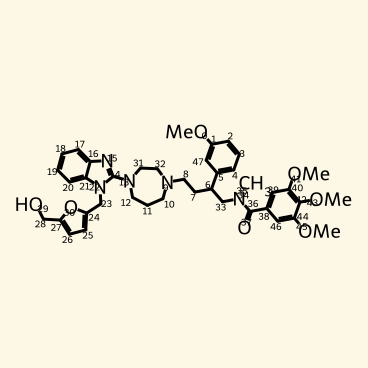 COc1cccc(C(CCN2CCCN(c3nc4ccccc4n3Cc3ccc(CO)o3)CC2)CN(C)C(=O)c2cc(OC)c(OC)c(OC)c2)c1